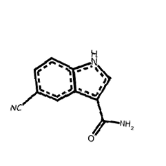 N#Cc1ccc2[nH]cc(C(N)=O)c2c1